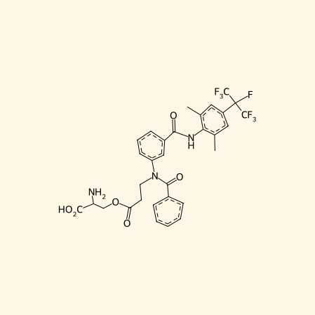 Cc1cc(C(F)(C(F)(F)F)C(F)(F)F)cc(C)c1NC(=O)c1cccc(N(CCC(=O)OCC(N)C(=O)O)C(=O)c2ccccc2)c1